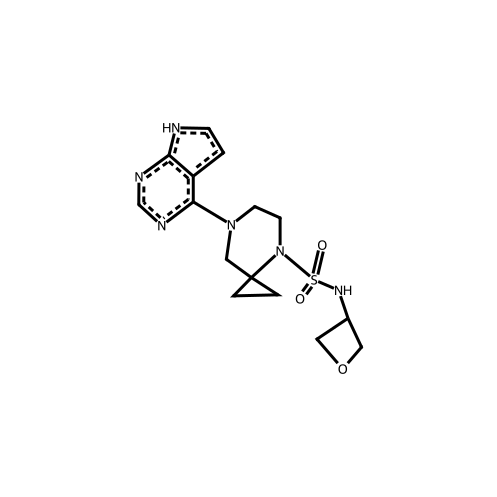 O=S(=O)(NC1COC1)N1CCN(c2ncnc3[nH]ccc23)CC12CC2